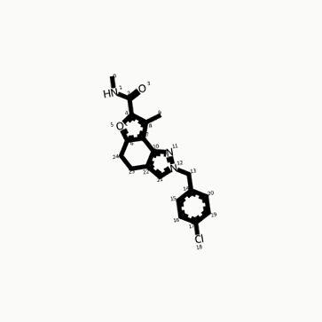 CNC(=O)c1oc2c(c1C)-c1nn(Cc3ccc(Cl)cc3)cc1CC2